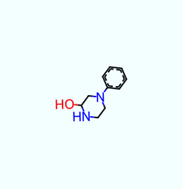 OC1CN(c2ccccc2)CCN1